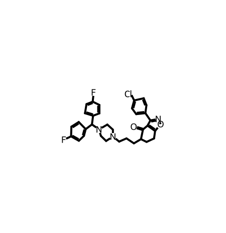 O=C1c2c(-c3ccc(Cl)cc3)noc2CCC1CCCN1CCN(C(c2ccc(F)cc2)c2ccc(F)cc2)CC1